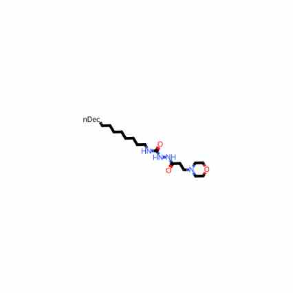 CCCCCCCCCCCCCCCCCCNC(=O)NNC(=O)CCN1CCOCC1